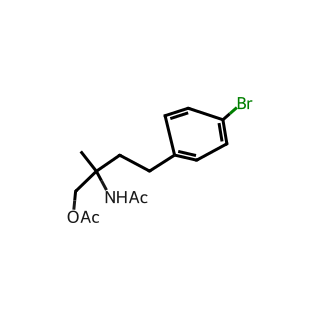 CC(=O)NC(C)(CCc1ccc(Br)cc1)COC(C)=O